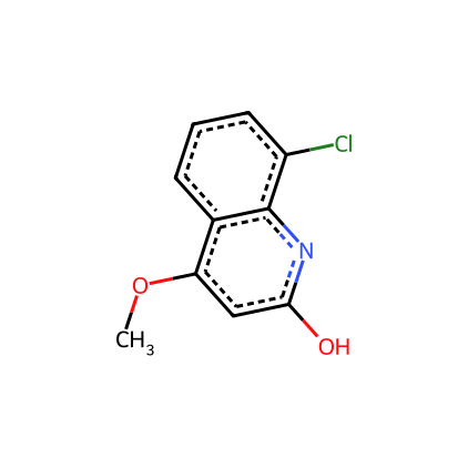 COc1cc(O)nc2c(Cl)cccc12